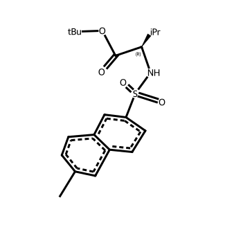 Cc1ccc2cc(S(=O)(=O)N[C@@H](C(=O)OC(C)(C)C)C(C)C)ccc2c1